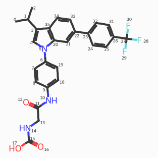 CC(C)c1cn(-c2ccc(NC(=O)CNC(=O)O)cc2)c2cc(-c3ccc(C(F)(F)F)cc3)ccc12